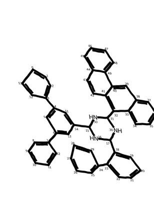 c1ccc(-c2cc(-c3ccccc3)cc(C3NC(c4ccccc4-c4ccccc4)NC(c4c5ccccc5cc5c4ccc4ccccc45)N3)c2)cc1